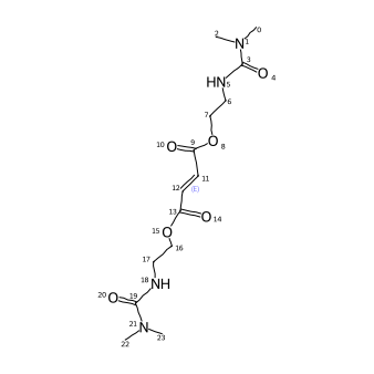 CN(C)C(=O)NCCOC(=O)/C=C/C(=O)OCCNC(=O)N(C)C